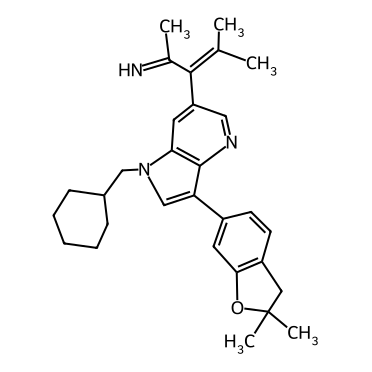 CC(=N)C(=C(C)C)c1cnc2c(-c3ccc4c(c3)OC(C)(C)C4)cn(CC3CCCCC3)c2c1